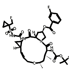 C[C@@H]1CCC=C[C@@H]2C[C@@]2(C(=O)NS(=O)(=O)C2(CF)CC2)NC(=O)[C@@H]2C[C@@H](OC(=O)c3cccc(F)c3)CN2C(=O)[C@@H](NC(=O)OC(C)(C)C(F)(F)F)[C@H](C)C1